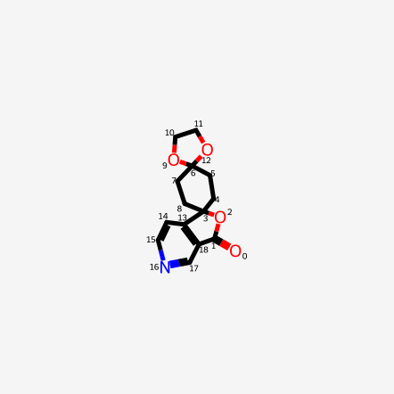 O=C1OC2(CCC3(CC2)OCCO3)c2ccncc21